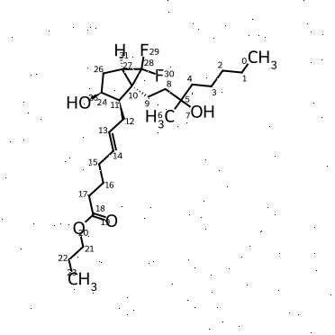 CCCCCC(C)(O)CC[C@]12[C@@H](CC=CCCCC(=O)OCCC)[C@@H](O)C[C@H]1C2(F)F